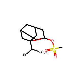 CCC(C(=O)O)C12CC3CC(CC(OS(C)(=O)=O)(C3)O1)C2